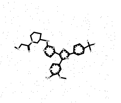 COCC(=O)N1CCCC(Nc2nccc(-c3nc(-c4ccc(C(F)(F)F)cc4)[nH]c3-c3cnc(N)c(OC)c3)n2)C1